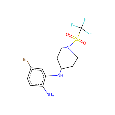 Nc1ccc(Br)cc1NC1CCN(S(=O)(=O)C(F)(F)F)CC1